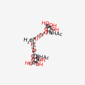 CC(=O)N[C@@H]1C(OCCOCCOCC(C)COCCOCCOC2OC(CO)[C@H](O)C(O)[C@@H]2NC(C)=O)OC(CO)[C@H](O)C1O